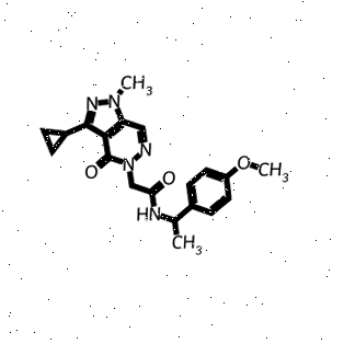 COc1ccc(C(C)NC(=O)Cn2ncc3c(c(C4CC4)nn3C)c2=O)cc1